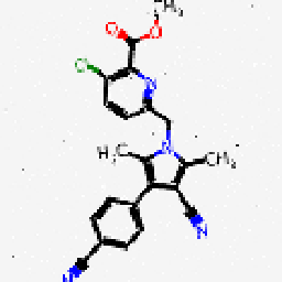 COC(=O)c1nc(Cn2c(C)c(C#N)c(-c3ccc(C#N)cc3)c2C)ccc1Cl